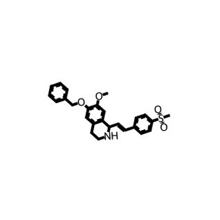 COc1cc2c(cc1OCc1ccccc1)CCNC2/C=C/c1ccc(S(C)(=O)=O)cc1